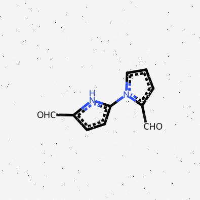 O=Cc1ccc(-n2cccc2C=O)[nH]1